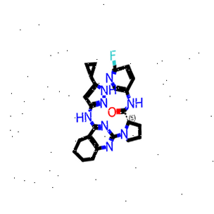 O=C(Nc1ccc(F)nc1)[C@@H]1CCCN1c1nc2c(c(Nc3cc(C4CC4)[nH]n3)n1)CCCC2